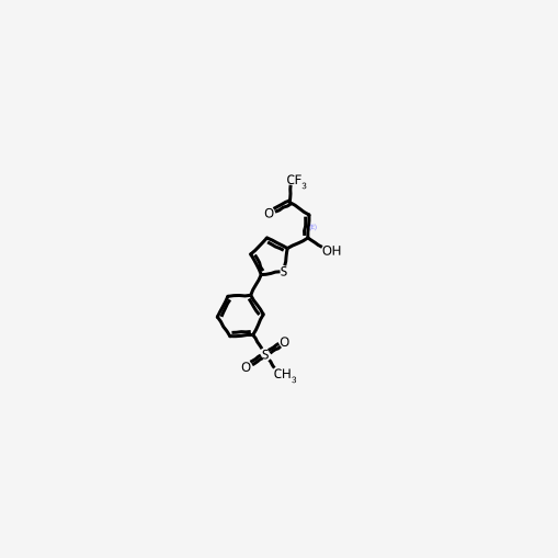 CS(=O)(=O)c1cccc(-c2ccc(/C(O)=C\C(=O)C(F)(F)F)s2)c1